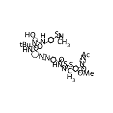 COc1cc(C)c(Sc2cnc(NC(=O)c3ccc(N4CCN(C5CCCC(N[C@H](C(=O)N6C[C@H](O)CC6C(=O)NCc6ccc(-c7scnc7C)cc6)C(C)(C)C)CC5)CC4)cc3)s2)cc1C(=O)N1CCN(C(C)=O)CC1